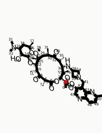 CC[C@H]1OC(=O)[C@H](C)C(=O)[C@H](C)[C@@H](O[C@@H]2O[C@H](C)C[C@H](N(C)C)[C@H]2O)[C@](C)(OC)C[C@@H](C)C(=O)[C@H](C)[C@H](NC2CN(Cc3c(O)cnc4ccc(C)nc34)C2)[C@]1(C)OC=O